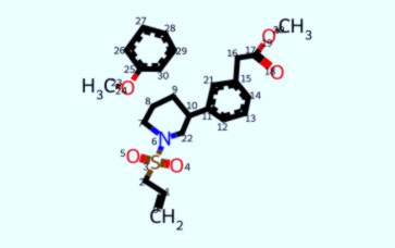 C=CCS(=O)(=O)N1CCCC(c2cccc(CC(=O)OC)c2)C1.COc1ccccc1